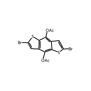 CC(=O)Oc1c2cc(Br)sc2c(OC(C)=O)c2cc(Br)sc12